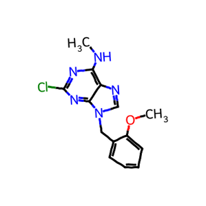 CNc1nc(Cl)nc2c1ncn2Cc1ccccc1OC